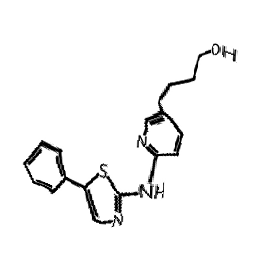 OCCCc1ccc(Nc2ncc(-c3ccccc3)s2)nc1